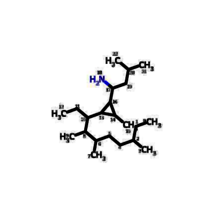 CCC(C)CCC(C)C(C)C(CC)C1C(C)C1C(N)CC(C)C